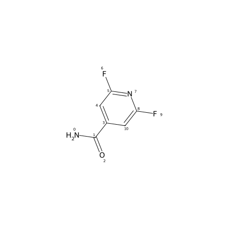 NC(=O)c1cc(F)nc(F)c1